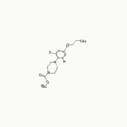 CC(C)(C)OC(=O)N1CCN(c2c(F)cc(OCCO)cc2F)CC1